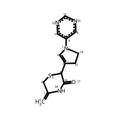 C=C1CSC(C2=CN(c3cncnc3)CC2)C(=O)N1